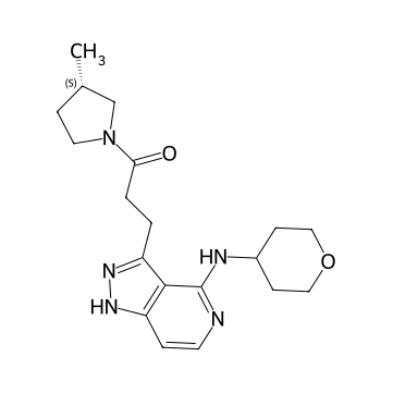 C[C@H]1CCN(C(=O)CCc2n[nH]c3ccnc(NC4CCOCC4)c23)C1